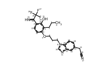 CCCc1c(OCCCn2cnc3cc(CC#N)ccc32)ccc(C(=N)C(F)(F)F)c1O